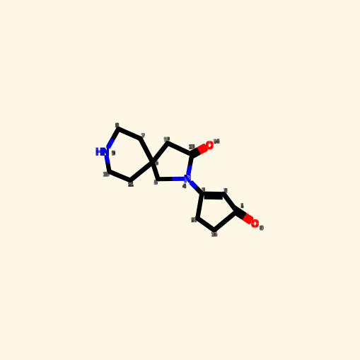 O=C1C=C(N2CC3(CCNCC3)CC2=O)CC1